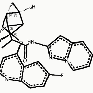 CC(C(=O)Nc1cc2ccccn2n1)[C@@H]1C2[C@H](Oc3ccnc4ccc(F)cc34)C[C@]13C[C@@H]23